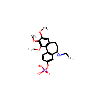 CCN[C@H]1CCc2cc(OC)c(OC)c(OC)c2-c2ccc(OP(=O)(O)O)cc21